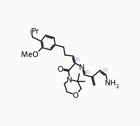 C=C(/C=C\N)/C=N/C(=C/CCc1ccc(CC(C)C)c(OC)c1)C(=O)N1CCOCC1(C)C